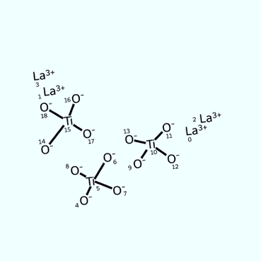 [La+3].[La+3].[La+3].[La+3].[O-][Ti]([O-])([O-])[O-].[O-][Ti]([O-])([O-])[O-].[O-][Ti]([O-])([O-])[O-]